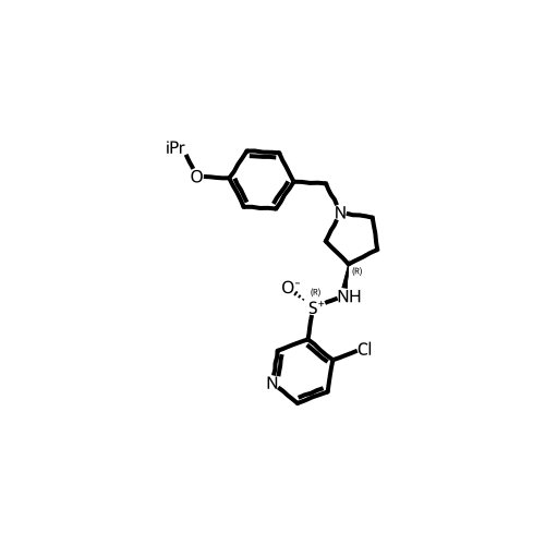 CC(C)Oc1ccc(CN2CC[C@@H](N[S@@+]([O-])c3cnccc3Cl)C2)cc1